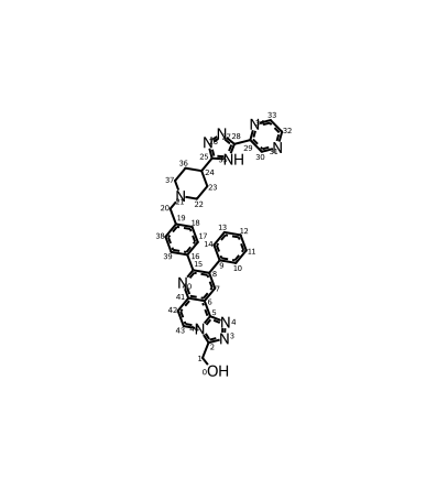 OCc1nnc2c3cc(-c4ccccc4)c(-c4ccc(CN5CCC(c6nnc(-c7cnccn7)[nH]6)CC5)cc4)nc3ccn12